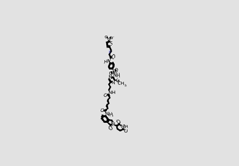 COc1nc(CCCNC(=O)CCCCCC(=O)Nc2cccc3c2CN(C2CCC(=O)NC2=O)C3=O)cnc1NS(=O)(=O)c1ccc(NC(=O)/C=C/c2ccc([N+](=O)[O-])s2)cc1